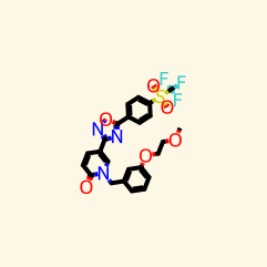 COCCOc1cccc(Cn2cc(-c3noc(-c4ccc(S(=O)(=O)C(F)(F)F)cc4)n3)ccc2=O)c1